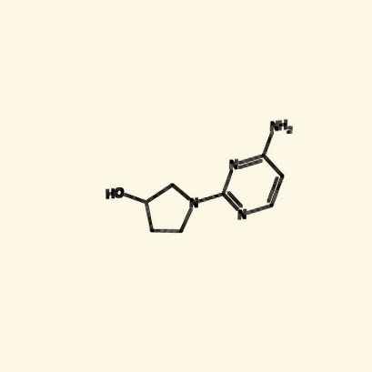 Nc1ccnc(N2CCC(O)C2)n1